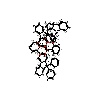 c1ccc(C2(c3ccccc3)c3ccccc3-c3ccc(N(c4ccc5c(c4)C4(c6ccccc6-5)c5ccccc5-n5c6ccccc6c6cccc4c65)c4ccccc4-c4ccccc4-c4cccc5ccccc45)cc32)cc1